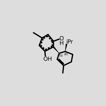 CC1=C[C@@H](c2c(O)cc(C)cc2O)[C@@H](C(C)C)CC1